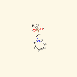 CS(=O)(=O)CCN1CCC#CCC1